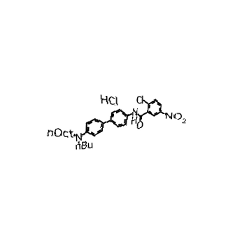 CCCCCCCCN(CCCC)c1ccc(-c2ccc(NC(=O)c3cc([N+](=O)[O-])ccc3Cl)cc2)cc1.Cl